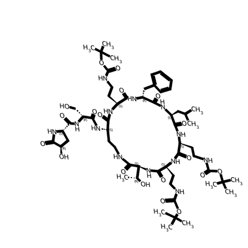 CC(C)C[C@@H]1NC(=O)[C@@H](Cc2ccccc2)NC(=O)[C@H](CCNC(=O)OC(C)(C)C)NC(=O)[C@@H](NC(=O)[C@@H](CO)NC(=O)[C@@H]2C[C@@H](O)C(=O)N2)CCNC(=O)[C@H]([C@@H](C)O)NC(=O)[C@H](CCNC(=O)OC(C)(C)C)NC(=O)[C@H](CCNC(=O)OC(C)(C)C)NC1=O